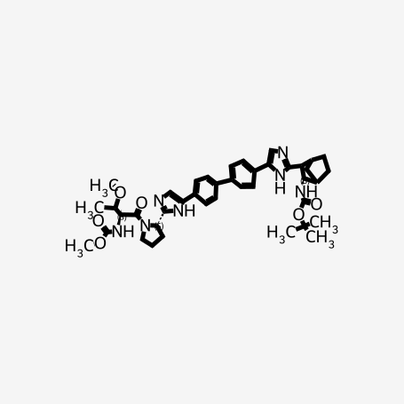 COC(=O)N[C@H](C(=O)N1CCC[C@H]1c1ncc(-c2ccc(-c3ccc(-c4cnc(C5C6CCC(C6)[C@@H]5NC(=O)OC(C)(C)C)[nH]4)cc3)cc2)[nH]1)C(C)OC